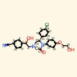 N#Cc1ccc(C(O)CN2CC(=O)N(c3ccc(OCCO)cc3)[C@H](c3ccc(Cl)cc3)C2)cc1